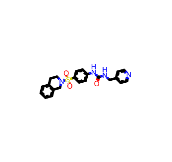 O=C(NCc1ccncc1)Nc1ccc(S(=O)(=O)N2CCc3ccccc3C2)cc1